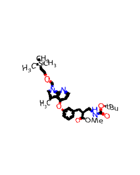 COC(=O)C(CNC(=O)OC(C)(C)C)Cc1cccc(Oc2ccnc3c2c(C)cn3COCC[Si](C)(C)C)c1